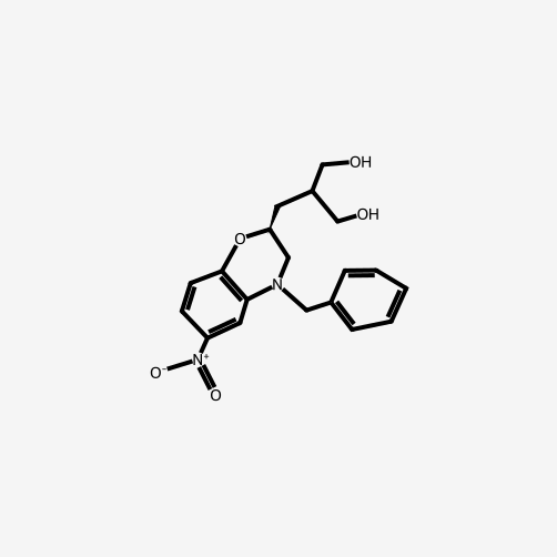 O=[N+]([O-])c1ccc2c(c1)N(Cc1ccccc1)C[C@H](CC(CO)CO)O2